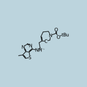 Cc1csc2c(N[C@@H](C)CC3=CCCN(C(=O)OC(C)(C)C)CC3)ncnc12